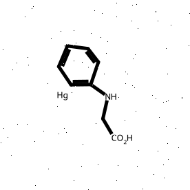 O=C(O)CNc1cc[c]cc1.[Hg]